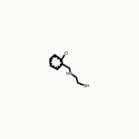 SCCNCc1ccccc1Cl